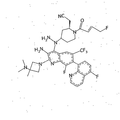 CN(C)C1(C)CN(c2nc3c(F)c(-c4ccc(F)c5cccnc45)c(C(F)(F)F)cc3c(N(N)C3CCN(C(=O)/C=C/CF)[C@H](CC#N)C3)c2N)C1